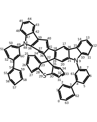 c1ccc(-c2cccc(-n3c4ccccc4c4cc5c(cc43)C3(c4ccccc4Sc4ccccc43)c3cc4c(cc3-5)c3ccccc3n4-c3cccc(-c4ccccc4)c3)c2)cc1